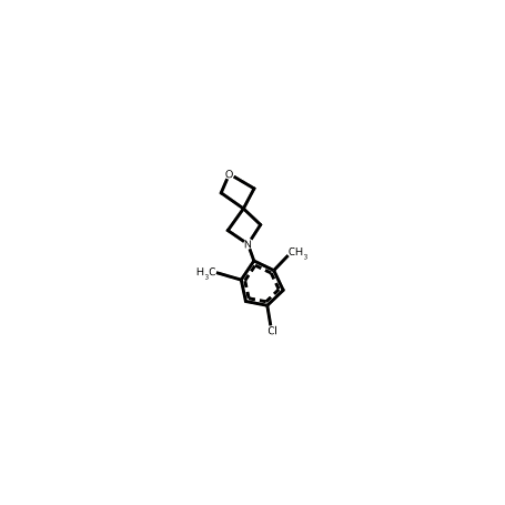 Cc1cc(Cl)cc(C)c1N1CC2(COC2)C1